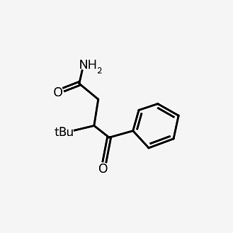 CC(C)(C)C(CC(N)=O)C(=O)c1ccccc1